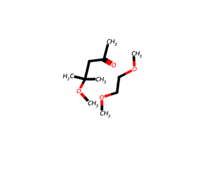 COC(C)(C)CC(C)=O.COCCOC